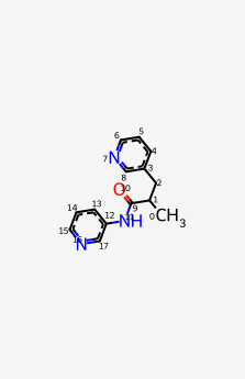 CC(Cc1cccnc1)C(=O)Nc1cccnc1